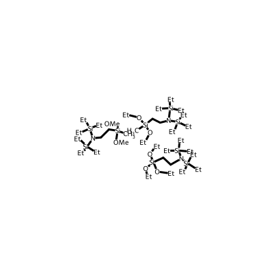 CCO[Si](C)(CCN([Si](CC)(CC)CC)[Si](CC)(CC)CC)OCC.CCO[Si](CCN([Si](CC)(CC)CC)[Si](CC)(CC)CC)(OCC)OCC.CC[Si](CC)(CC)N(CC[Si](C)(OC)OC)[Si](CC)(CC)CC